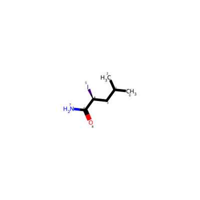 CC(C)C[C@H](I)C(N)=O